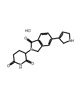 Cl.O=C1CCC(N2Cc3cc(C4=CCNC4)ccc3C2=O)C(=O)N1